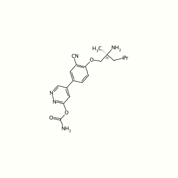 CC(C)C[C@](C)(N)COc1ccc(-c2cnnc(OC(N)=O)c2)cc1C#N